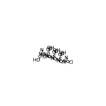 Cc1cc(N=Nc2cc(SCCCS(=O)(=O)O)c(N=Nc3cc(OCCCS(=O)(=O)O)c(N=Nc4c(C)c(C#N)c5nc6ccc(CO)cc6n5c4O)cc3C)cc2C)c(SCCCS(=O)(=O)O)cc1N=Nc1ccc(Cl)cc1C#N